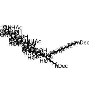 CCCCCCCCCCCCC/C=C/[C@@H](O)[C@H](CO[C@@H]1OC(CO)[C@@H](O[C@@H]2OC(CO)[C@H](O[C@@H]3OC(CO)[C@H](O)[C@H](O[C@@H]4OC(CO)[C@H](O)[C@H](O[C@H]5OC(CO)[C@H](O)[C@H](O[C@@H]6OC(CO)[C@H](O)[C@H](O)C6NC(C)=O)C5O)C4O)C3NC(C)=O)[C@H](O)C2O)[C@H](O)C1O)NC(=O)CCCCCCCCCCCCCCCCCCCCCCCCC